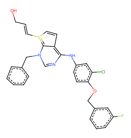 OC/C=C/S1=C2C(=C(Nc3ccc(OCc4cccc(F)c4)c(Cl)c3)N=CN2Cc2ccccc2)C=C1